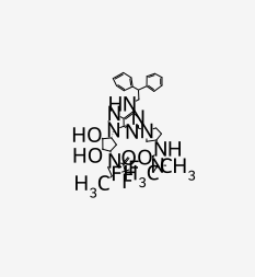 CCCN(C(=O)C(F)(F)F)[C@H]1C[C@@H](n2cnc3c(NCC(c4ccccc4)c4ccccc4)nc(N4CC[C@@H](NC(=O)N(C)C)C4)nc32)[C@H](O)[C@@H]1O